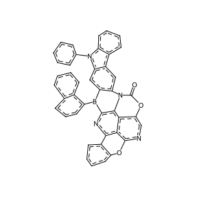 O=C1Oc2cnc3c4c(nc5c(c24)N1c1cc2c4ccccc4n(-c4ccccc4)c2cc1B5c1cccc2ccccc12)-c1ccccc1O3